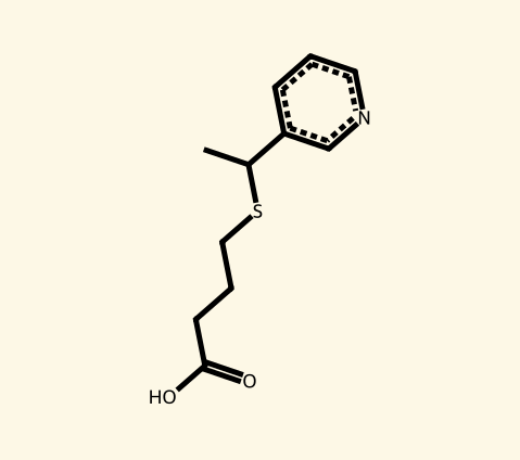 CC(SCCCC(=O)O)c1cccnc1